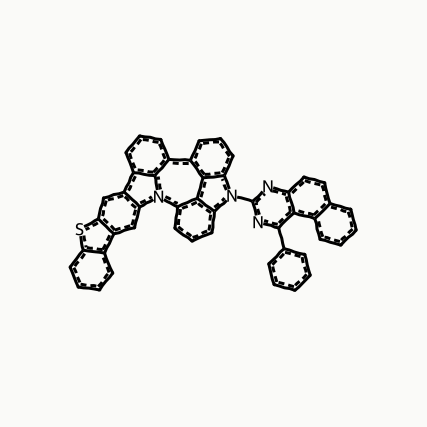 c1ccc(-c2nc(-n3c4cccc5c6cccc7c8cc9sc%10ccccc%10c9cc8n(c8cccc3c8c54)c67)nc3ccc4ccccc4c23)cc1